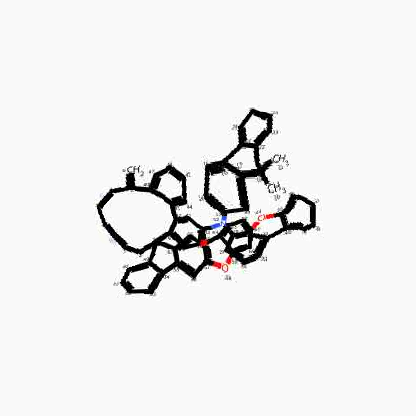 C=C1/C=C\C=C/CC2(c3ccc(N(c4ccc5c(c4)C(C)(C)c4ccccc4-5)c4cccc5c4oc4ccccc45)cc3-c3ccccc31)c1ccccc1-c1cc3oc4ccccc4c3cc12